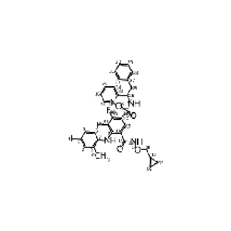 Cc1cc(I)ccc1Nc1c(C(=O)NOCC2CC2)cc(S(=O)(=O)NC(Cc2ccccc2)c2ccccn2)c(F)c1F